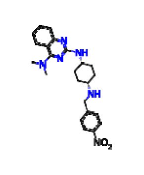 CN(C)c1nc(N[C@H]2CC[C@@H](NCc3ccc([N+](=O)[O-])cc3)CC2)nc2ccccc12